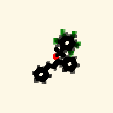 C[Si](C)(OC(=CCc1ccccc1)c1ccccc1)c1c(F)c(F)c(F)c(F)c1F